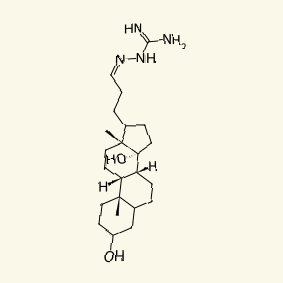 C[C@]12CCC(O)CC1CC[C@@H]1[C@H]2CC[C@]2(C)C(CC/C=N\NC(=N)N)CC[C@@]12O